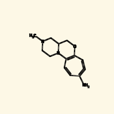 CN1CCN2C3=C(C=C=C(N)C=C3)OCC2C1